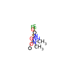 CCCN(CCC)[C@@H](COCc1ccccc1)C(=O)Nc1nc2ccc(OC(F)(F)F)cc2s1